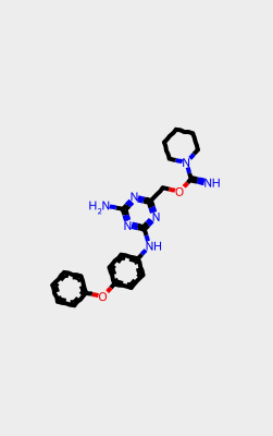 N=C(OCc1nc(N)nc(Nc2ccc(Oc3ccccc3)cc2)n1)N1CCCCC1